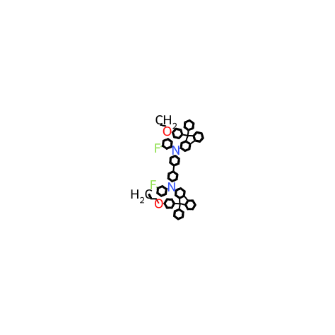 C=CCOc1ccc(C2(c3ccccc3)c3ccccc3-c3ccc(N(c4ccc(-c5ccc(N(c6cccc(F)c6)c6ccc7c(c6)C(c6ccccc6)(c6ccc(OCC=C)cc6)c6ccccc6-7)cc5)cc4)c4cccc(F)c4)cc32)cc1